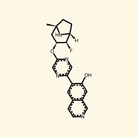 C[C@@]12CC[C@@H](N1)[C@@H](F)[C@@H](Oc1cnc(-c3cc4ccncc4cc3O)cn1)C2